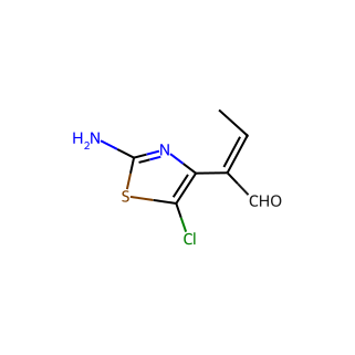 C/C=C(/C=O)c1nc(N)sc1Cl